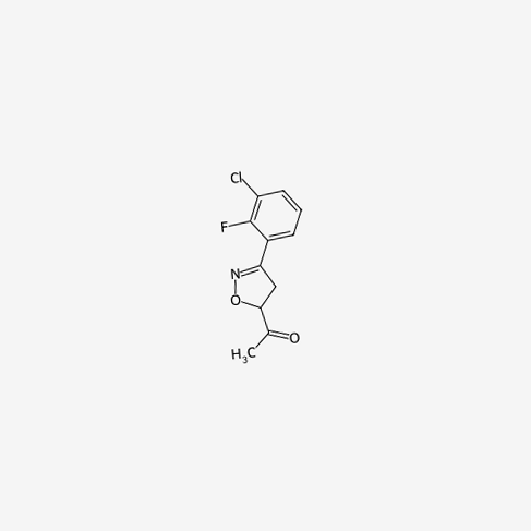 CC(=O)C1CC(c2cccc(Cl)c2F)=NO1